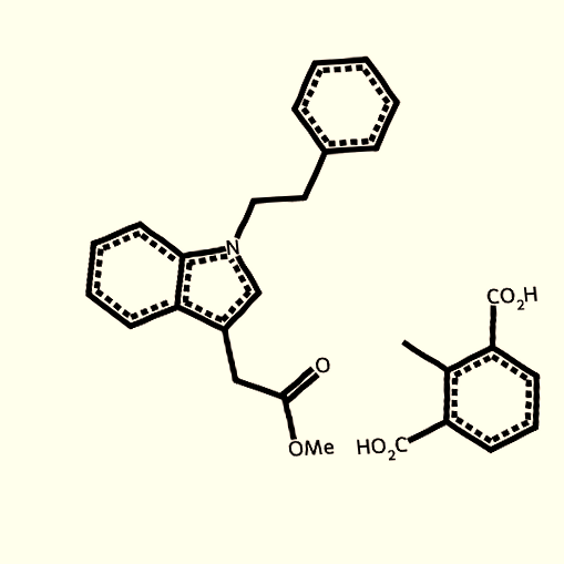 COC(=O)Cc1cn(CCc2ccccc2)c2ccccc12.Cc1c(C(=O)O)cccc1C(=O)O